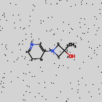 CC1(O)CN(C2=CN=CCC2)C1